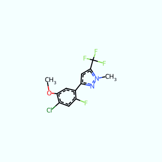 COc1cc(-c2cc(C(F)(F)F)n(C)n2)c(F)cc1Cl